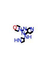 c1cc2c(NC3CCNC3)nc(N3CCOCC3)nc2cn1